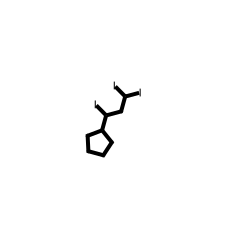 IC(I)CC(I)C1CCCC1